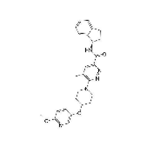 COc1ccc(OC2CCN(c3nnc(C(=O)N[C@@H]4CCc5ccccc54)cc3C)CC2)cn1